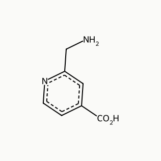 NCc1cc(C(=O)O)ccn1